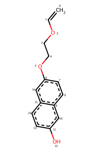 C=COCCOc1ccc2cc(O)ccc2c1